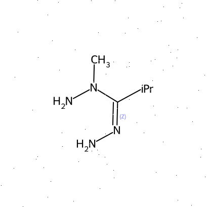 CC(C)/C(=N/N)N(C)N